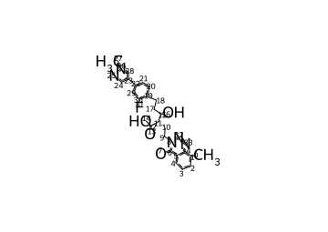 Cc1cccc2c(=O)n(CC[C@H](C(=O)O)[C@H](O)CCc3ccc(-c4cnn(C)c4)cc3F)nnc12